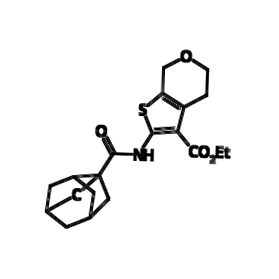 CCOC(=O)c1c(NC(=O)C23CC4CC(CC2C4)C3)sc2c1CCOC2